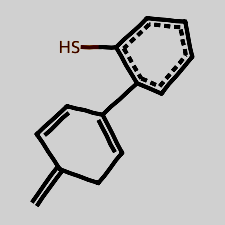 C=C1C=CC(c2ccccc2S)=CC1